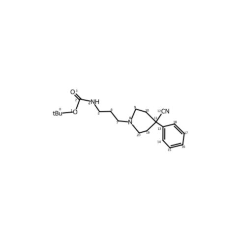 CC(C)(C)OC(=O)NCCCN1CCC(C#N)(c2ccccc2)CC1